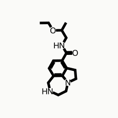 CCOC(C)CNC(=O)c1ccc2c3c1CCN3CCNC2